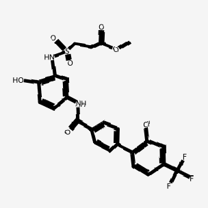 COC(=O)CCS(=O)(=O)Nc1cc(NC(=O)c2ccc(-c3ccc(C(F)(F)F)cc3Cl)cc2)ccc1O